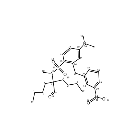 CCCCC(C=O)(CCCC)N(C)S(=O)(=O)c1ccc(N(C)C)cc1Cc1cccc([N+](=O)[O-])c1